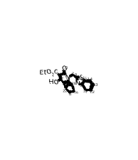 CCOC(=O)c1c(O)c2c(n(Cc3nc4ccccc4s3)c1=O)C1CCC2C1